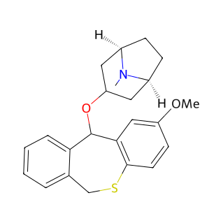 COc1ccc2c(c1)C(OC1C[C@H]3CC[C@@H](C1)N3C)c1ccccc1CS2